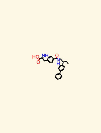 CCC(CNC(=O)c1ccc(C[C@H](N)C(=O)O)cc1)c1ccc(-c2ccccc2)cc1